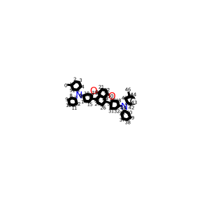 Cc1cccc(N(c2ccccc2)c2ccc3c(c2)Oc2ccc4c5c(ccc-3c25)-c2ccc(N(c3ccccc3)c3cccc(C)c3)cc2O4)c1